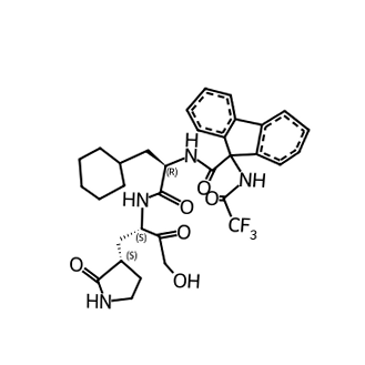 O=C1NCC[C@H]1C[C@H](NC(=O)[C@@H](CC1CCCCC1)NC(=O)C1(NC(=O)C(F)(F)F)c2ccccc2-c2ccccc21)C(=O)CO